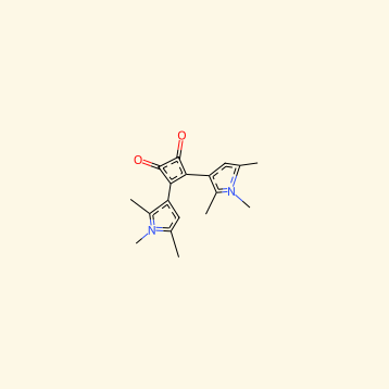 Cc1cc(-c2c(-c3cc(C)n(C)c3C)c(=O)c2=O)c(C)n1C